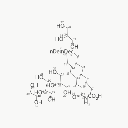 CCCCCCCCCCCCCCCCCC(=O)O.CCCCCCCCCCCCCCCCCC(N)=O.OCC(O)CO.OCC(O)CO.OCC(O)CO.OCCO